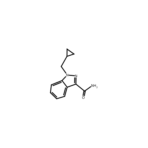 NC(=O)c1nn(CC2CC2)c2ccccc12